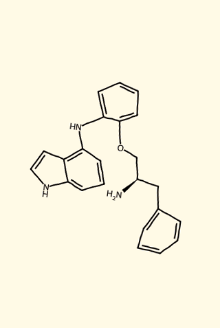 N[C@@H](COc1ccccc1Nc1cccc2[nH]ccc12)Cc1ccccc1